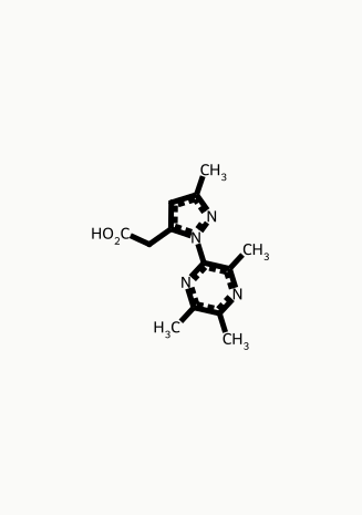 Cc1cc(CC(=O)O)n(-c2nc(C)c(C)nc2C)n1